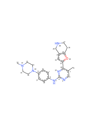 Cc1cnc(Nc2ccc(N3CCN(C)CC3)cc2)nc1-c1cc2c(o1)CCNC2